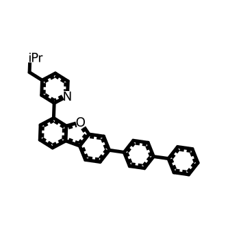 CC(C)Cc1ccnc(-c2cccc3c2oc2cc(-c4ccc(-c5ccccc5)cc4)ccc23)c1